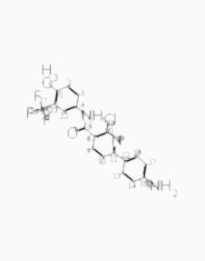 Cc1ccc(NC(=O)c2ccc(-c3ccc(N)cc3)nc2Cl)cc1C(F)(F)F